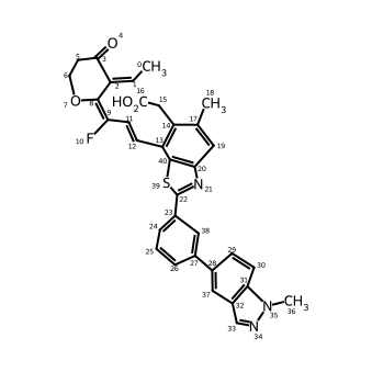 C\C=C1/C(=O)CCO/C1=C(F)/C=C/c1c(CC(=O)O)c(C)cc2nc(-c3cccc(-c4ccc5c(cnn5C)c4)c3)sc12